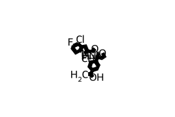 C=C(O)c1ccc(C2(NC(=O)c3cc4c(Cl)c(F)ccc4n3C)CCOC2)cc1